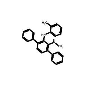 CNc1c(-c2ccccc2)ccc(-c2ccccc2)c1Nc1ccccc1C